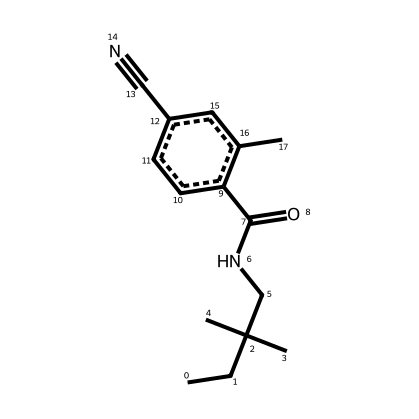 CCC(C)(C)CNC(=O)c1ccc(C#N)cc1C